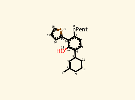 CCCCCc1ccc(C2C=C(C)CCC2)c(O)c1-c1cccs1